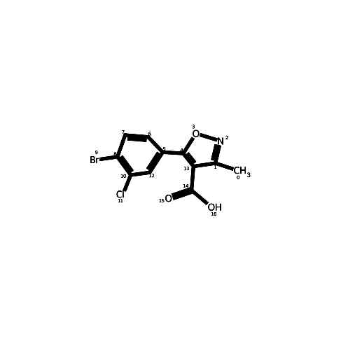 Cc1noc(-c2ccc(Br)c(Cl)c2)c1C(=O)O